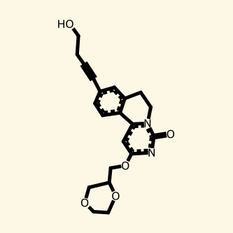 O=c1nc(OCC2COCCO2)cc2n1CCc1cc(C#CCCO)ccc1-2